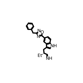 CC[C@@H](C=N)Cc1c[nH]c2ccc(-c3nc(Cc4ccccc4)no3)cc12